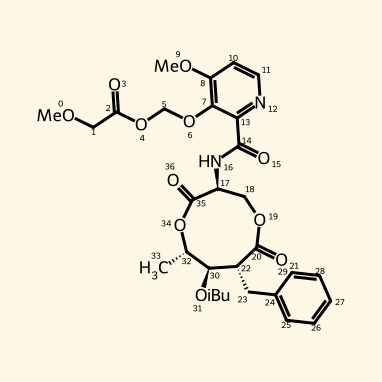 COCC(=O)OCOc1c(OC)ccnc1C(=O)N[C@H]1COC(=O)[C@H](Cc2ccccc2)[C@@H](OCC(C)C)[C@H](C)OC1=O